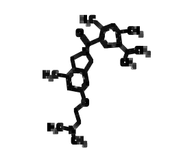 C=C(C)c1cc(C(=O)N2Cc3cc(OCCN(C)C)cc(C)c3C2)c(C)cc1C